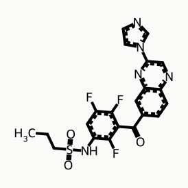 CCCS(=O)(=O)Nc1cc(F)c(F)c(C(=O)c2ccc3ncc(-n4ccnc4)nc3c2)c1F